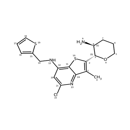 Cc1c([C@H]2OCCC[C@@H]2N)sc2c(NCc3cccs3)cc(Cl)nc12